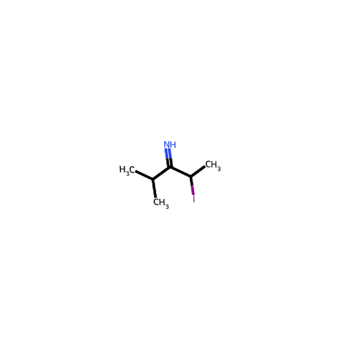 CC(C)C(=N)C(C)I